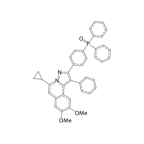 COc1cc2cc(C3CC3)n3nc(-c4ccc(P(=O)(c5ccccc5)c5ccccc5)cc4)c(-c4ccccc4)c3c2cc1OC